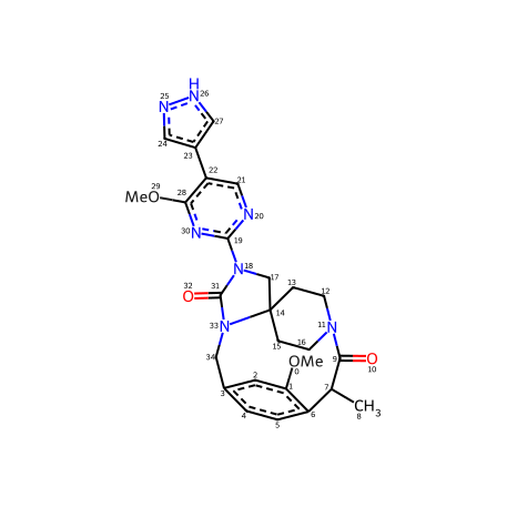 COc1cc2ccc1C(C)C(=O)N1CCC3(CC1)CN(c1ncc(-c4cn[nH]c4)c(OC)n1)C(=O)N3C2